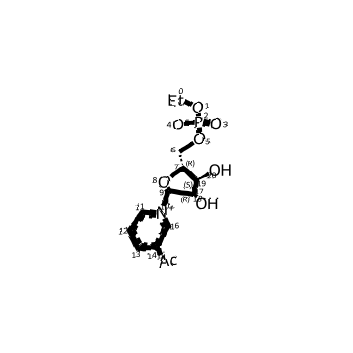 CCOP(=O)([O-])OC[C@H]1OC([n+]2cccc(C(C)=O)c2)[C@H](O)[C@@H]1O